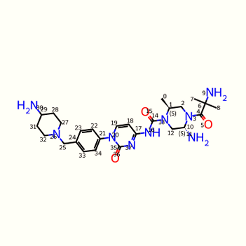 C[C@H]1CN(C(=O)C(C)(C)N)[C@H](N)CN1C(=O)Nc1ccn(-c2ccc(CN3CCC(N)CC3)cc2)c(=O)n1